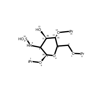 CC(C)OCC1O[C@@H](OC(C)C)C(NS(=O)(=O)O)[C@@H](O)[C@@H]1OC(C)C